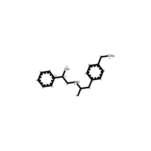 CC(=O)OCc1ccc(CC(C)NCC(O)c2ccccc2)cc1